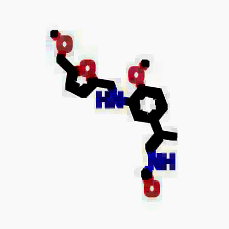 COCc1ccc(CNc2cc(/C(C)=C/NC=O)ccc2OC)o1